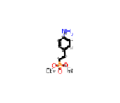 CCOP(=O)(/C=C/c1ccc(N)cc1)OCC